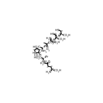 CC(C)[C@H](N)C(=O)O.CC(C)[C@H](N)C(=O)O.C[C@H](N)C(=O)O.NC(=O)CC[C@H](N)C(=O)O.NCC(=O)O.N[C@@H](CS)C(=O)O.N[C@@H](CS)C(=O)O.O=C(O)[C@@H]1CCCN1